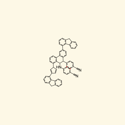 N#Cc1ccc(NC2c3c(cccc3C3C=CC(c4cccc5c4-c4ccccc4C5)=C3)-c3cc(-c4cccc5c4-c4ccccc4C5)ccc3C2c2ccc(C#N)cc2)cc1